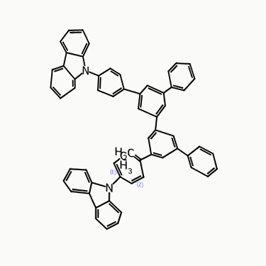 C=C(/C=C\C(=C/C)n1c2ccccc2c2ccccc21)c1cc(-c2ccccc2)cc(-c2cc(-c3ccccc3)cc(-c3ccc(-n4c5ccccc5c5ccccc54)cc3)c2)c1